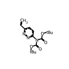 C=Cc1ccc(N(C(=O)OC(C)(C)C)C(=O)OC(C)(C)C)nn1